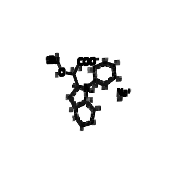 CC(C)(C)OC(C(=O)[O-])c1cc2ccccc2n1-c1ccccc1.[Na+]